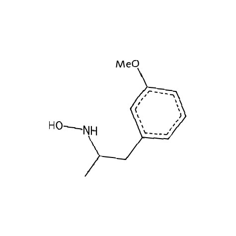 COc1cccc(CC(C)NO)c1